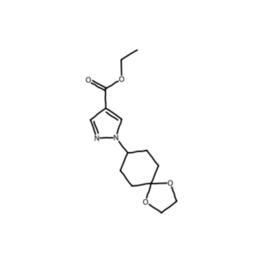 CCOC(=O)c1cnn(C2CCC3(CC2)OCCO3)c1